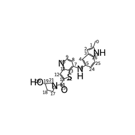 Cc1cc2cc(Nc3ccnc4cc(C(=O)N5CCC(O)C5)sc34)ccc2[nH]1